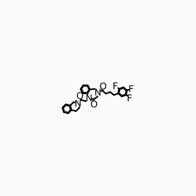 O=C(CN1C(=O)CN(C(=O)CCCc2cc(F)c(F)cc2F)Cc2ccccc21)N1CCc2ccccc2C1